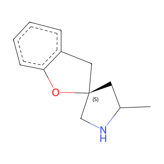 CC1C[C@]2(CN1)Cc1ccccc1O2